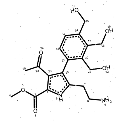 COC(=O)c1[nH]c(CCN)c(-c2ccc(CO)c(CO)c2CO)c1C(C)=O